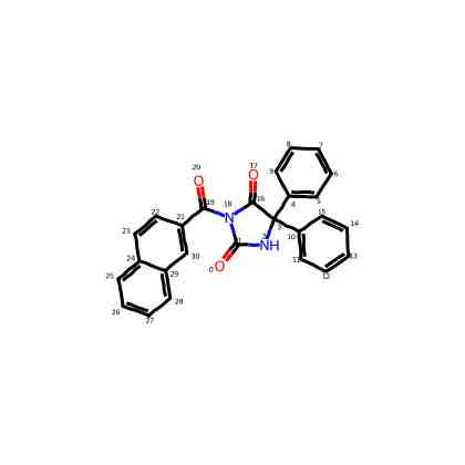 O=C1NC(c2ccccc2)(c2ccccc2)C(=O)N1C(=O)c1ccc2ccccc2c1